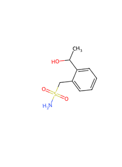 CC(O)c1ccccc1CS(N)(=O)=O